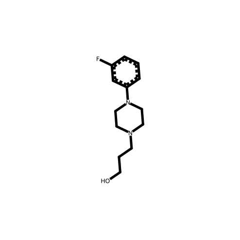 OCCCN1CCN(c2cccc(F)c2)CC1